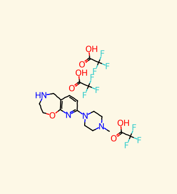 CN1CCN(c2ccc3c(n2)OCCNC3)CC1.O=C(O)C(F)(F)F.O=C(O)C(F)(F)F.O=C(O)C(F)(F)F